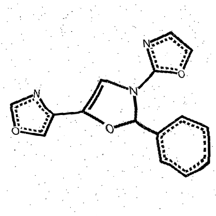 [C]1=C(c2cocn2)OC(c2ccccc2)N1c1ncco1